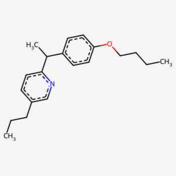 CCCCOc1ccc(C(C)c2ccc(CCC)cn2)cc1